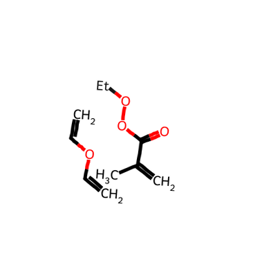 C=C(C)C(=O)OOCC.C=COC=C